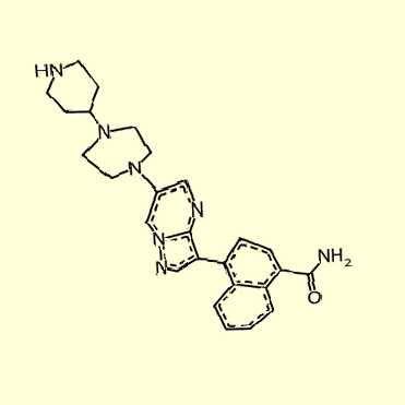 NC(=O)c1ccc(-c2cnn3cc(N4CCN(C5CCNCC5)CC4)cnc23)c2ccccc12